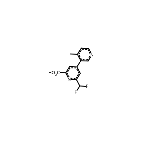 Cc1ccncc1-c1cc(C(=O)O)nc(C(F)F)c1